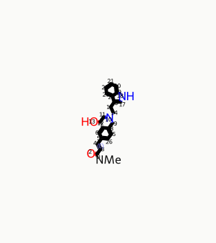 CNC(=O)/C=C/c1ccc(CN(CCO)CCc2c[nH]c3ccccc23)cc1